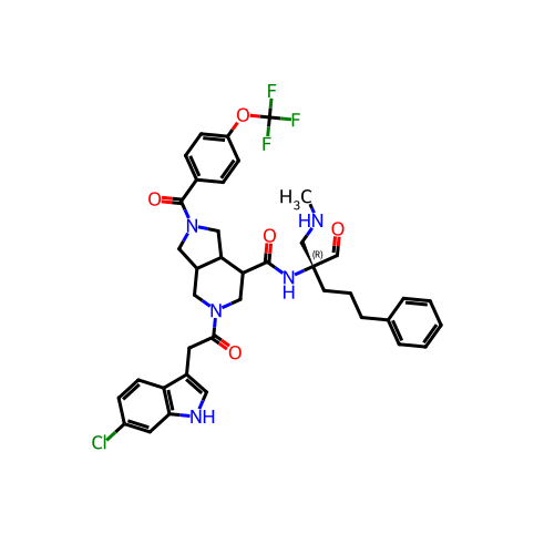 CNC[C@@](C=O)(CCCc1ccccc1)NC(=O)C1CN(C(=O)Cc2c[nH]c3cc(Cl)ccc23)CC2CN(C(=O)c3ccc(OC(F)(F)F)cc3)CC21